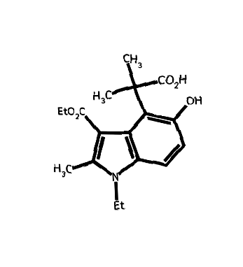 CCOC(=O)c1c(C)n(CC)c2ccc(O)c(C(C)(C)C(=O)O)c12